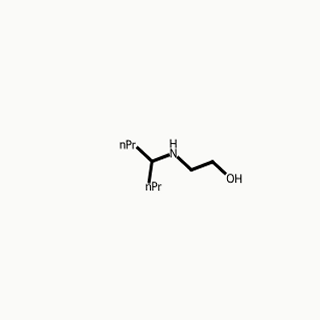 CCCC(CCC)NCCO